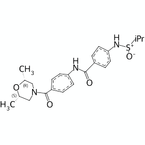 CC(C)[S+]([O-])Nc1ccc(C(=O)Nc2ccc(C(=O)N3C[C@@H](C)O[C@@H](C)C3)cc2)cc1